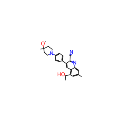 COC1(C)CCN(c2ccc(-c3cc4c(C(C)O)cc(C)cc4nc3C#N)cc2)CC1